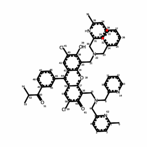 Cc1cccc(CN(Cc2ccccn2)Cc2c3oc4c(CN(Cc5ccccn5)Cc5cccc(C)n5)c(O)c(Cl)cc4c(-c4cccc(C(=O)C(C)C)c4)c-3cc(Cl)c2=O)n1